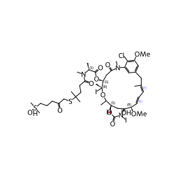 COc1cc2cc(c1Cl)N(C)C(=O)C[C@H](OC(=O)[C@H](C)N(C)C(=O)CCC(C)(C)SCC(=O)CCC[SH](C)(C)=O)[C@@](C)(I)OC(C)[C@@H]1C[C@](O)([C@H](OC)/C=C/C=C(\C)C2)N(I)C(=O)O1